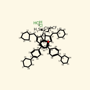 Cl.Cl.[CH3][Zr](=[SiH2])([CH2]CC(F)(F)F)([CH]1C(CC2CCCCC2)=Cc2c(-c3ccc(C4CCCCC4)cc3)cccc21)[CH]1C(CC2CCCCC2)=Cc2c(-c3ccc(C4CCCCC4)cc3)cccc21